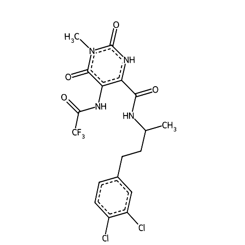 CC(CCc1ccc(Cl)c(Cl)c1)NC(=O)c1[nH]c(=O)n(C)c(=O)c1NC(=O)C(F)(F)F